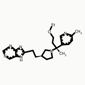 CCOCC[C@](C)(c1ccc(C)nc1)N1CC[C@@H](CCc2nc3ncncc3[nH]2)C1